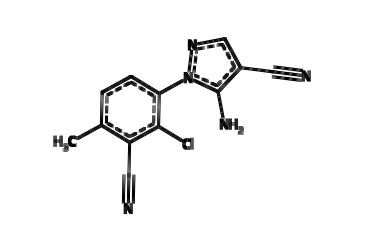 Cc1ccc(-n2ncc(C#N)c2N)c(Cl)c1C#N